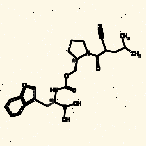 CC(C)CC(C#N)C(=O)N1CCC[C@@H]1COC(=O)N[C@@H](Cc1coc2ccccc12)B(O)O